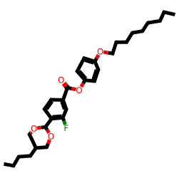 CCCCCCCCCOc1ccc(OC(=O)c2ccc(C3OCC(CCCC)CO3)c(F)c2)cc1